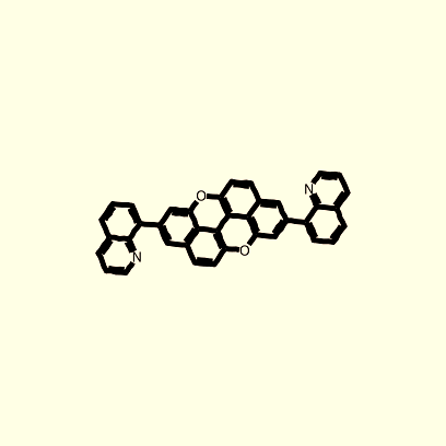 c1cnc2c(-c3cc4ccc5oc6cc(-c7cccc8cccnc78)cc7ccc8oc(c3)c4c5-c8c76)cccc2c1